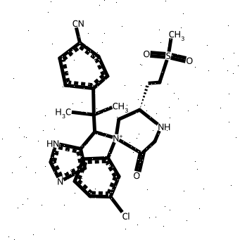 CC(C)(c1ccc(C#N)cc1)C(c1cnc[nH]1)[N+]1(c2cccc(Cl)c2)C[C@H](CCS(C)(=O)=O)NCC1=O